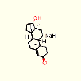 C[C@]12CC[C@H]3[C@@H](CCC4=CC(=O)CC[C@@]43C)[C@@H]1CC[C@@H]2O.[NaH]